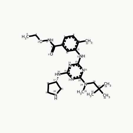 CCONC(=O)c1ccc(C)c(Nc2nc(N[C@H]3CCNC3)nc(N(C)CC(C)(C)C)n2)c1